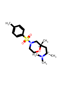 Cc1ccc(S(=O)(=O)N2CCO[C@@](C)(C[C@H](C)N(C)C)C2)cc1